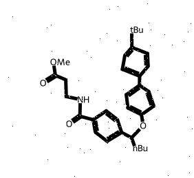 CCCCC(Oc1ccc(-c2ccc(C(C)(C)C)cc2)cc1)c1ccc(C(=O)NCCC(=O)OC)cc1